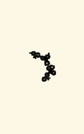 Cc1ccc2c(c1)C(C)(C)c1cc(-c3ccc4c(c3)c3cc(C)ccc3n4-c3ccc(-c4c#cc(N(c5ccc6c(c5)C(C)(C)c5ccccc5-6)c5ccccc5C5=CC=CCC5)cc4)cc3)ccc1-2